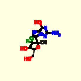 N#C[C@@]1(c2cnc3c(O)nc(N)nn23)O[C@H](CO)C(O)[C@]1(F)Cl